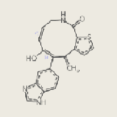 C=C1/C(c2ccc3[nH]cnc3c2)=C(O)\C=C/CNC(=O)c2sccc21